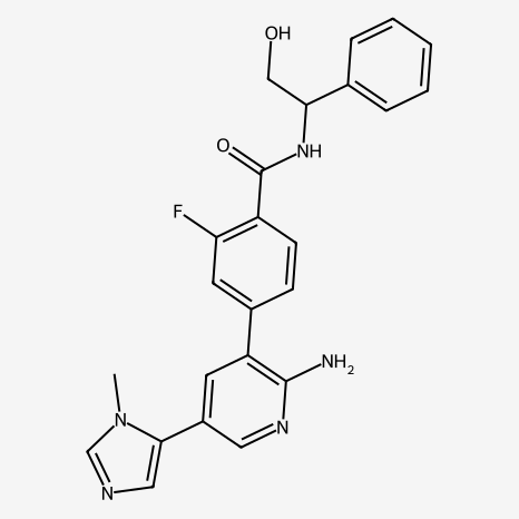 Cn1cncc1-c1cnc(N)c(-c2ccc(C(=O)NC(CO)c3ccccc3)c(F)c2)c1